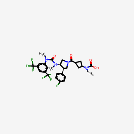 CN(C(=O)N(C)[C@@H]1CN(C(=O)C2CC(N(C)C(=O)O)C2)C[C@H]1c1ccc(F)cc1)c1cc(C(F)(F)F)cc(C(F)(F)F)c1